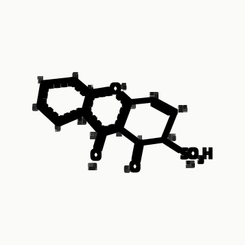 O=C1c2c(oc3ccccc3c2=O)C=CC1S(=O)(=O)O